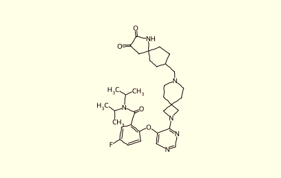 CC(C)N(C(=O)c1cc(F)ccc1Oc1cncnc1N1CC2(CCN(CC3CCC4(CC3)CC(=O)C(=O)N4)CC2)C1)C(C)C